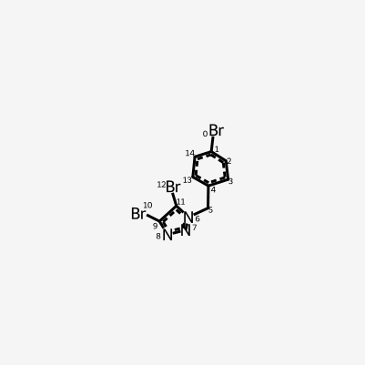 Brc1ccc(Cn2nnc(Br)c2Br)cc1